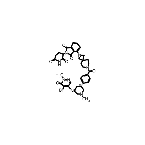 CN1C[C@H](Nc2cnn(C)c(=O)c2Br)C[C@H](c2ccc(C(=O)N3CCC4(CC3)CN(c3cccc5c3C(=O)N(C3CCC(=O)NC3=O)C5=O)C4)cc2)C1